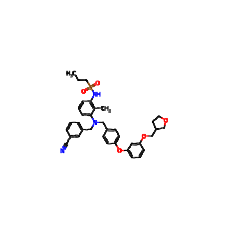 CCCS(=O)(=O)Nc1cccc(N(Cc2ccc(Oc3cccc(OCC4CCOC4)c3)cc2)Cc2cccc(C#N)c2)c1C